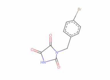 O=C1NC(=O)N(Cc2ccc(Br)cc2)C1=O